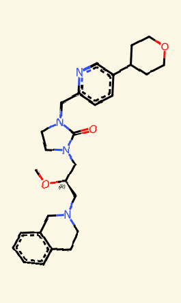 CO[C@H](CN1CCc2ccccc2C1)CN1CCN(Cc2ccc(C3CCOCC3)cn2)C1=O